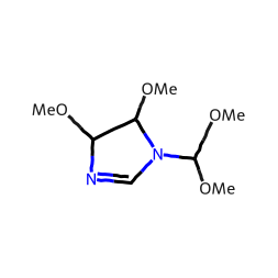 COC1N=CN(C(OC)OC)C1OC